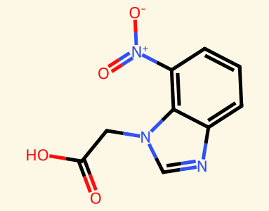 O=C(O)Cn1cnc2cccc([N+](=O)[O-])c21